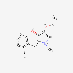 CCc1ccccc1CC1C(=O)C(OCC(F)(F)F)=CN1C